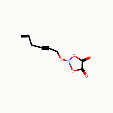 C=CCC#CCOn1oc(=O)c(=O)o1